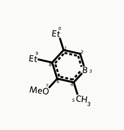 CCc1cbc(C)c(OC)c1CC